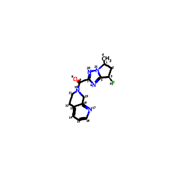 C[C@H]1C[C@@H](F)c2nc(C(=O)N3CCc4cccnc4C3)nn21